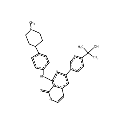 CN1CCC(c2ccc(Nc3nc(-c4ccc(C(C)(C)O)nc4)cc4c3C(=O)[N]C=C4)cc2)CC1